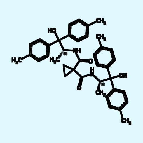 Cc1ccc(C(O)(c2ccc(C)cc2)[C@@H](C)NC(=O)C2(C(=O)N[C@H](C)C(O)(c3ccc(C)cc3)c3ccc(C)cc3)CC2)cc1